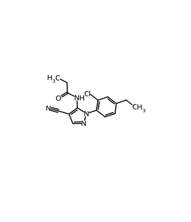 CCC(=O)Nc1c(C#N)cnn1-c1ccc(CC)cc1Cl